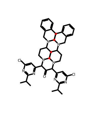 CC(C)c1nc(Cl)cc(C(C(=O)C(c2cc(Cl)nc(C(C)C)n2)N2CCC(N3CCc4ccccc4C3)CC2)N2CCC(N3CCc4ccccc4C3)CC2)n1